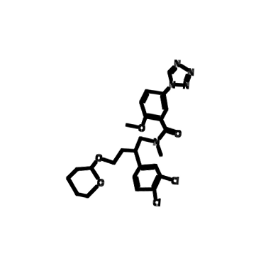 COc1ccc(-n2cnnn2)cc1C(=O)N(C)CC(CCOC1CCCCO1)c1ccc(Cl)c(Cl)c1